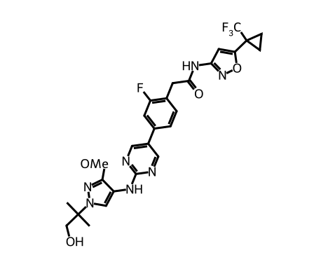 COc1nn(C(C)(C)CO)cc1Nc1ncc(-c2ccc(CC(=O)Nc3cc(C4(C(F)(F)F)CC4)on3)c(F)c2)cn1